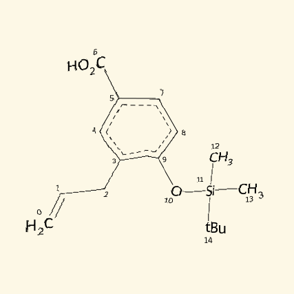 C=CCc1cc(C(=O)O)ccc1O[Si](C)(C)C(C)(C)C